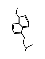 COc1cccc2c(CCN(C)C)cccc12